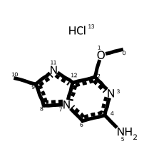 COc1nc(N)cn2cc(C)nc12.Cl